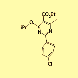 CCOC(=O)c1c(C)nc(-c2ccc(Cl)cc2)nc1OC(C)C